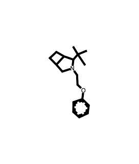 CC(C)(C)C1C2CCC2CN1CCOc1ccccc1